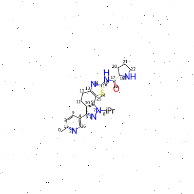 Cc1ccc(-c2nn(C(C)C)c3c2CCc2nc(NC(=O)[C@@H]4CCCN4)sc2-3)cn1